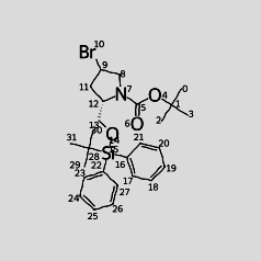 CC(C)(C)OC(=O)N1CC(Br)C[C@H]1CO[Si](c1ccccc1)(c1ccccc1)C(C)(C)C